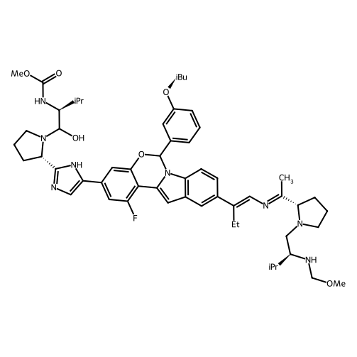 CC/C(=C\N=C(/C)[C@@H]1CCCN1C[C@@H](NCOC)C(C)C)c1ccc2c(c1)cc1n2C(c2cccc(O[C@H](C)CC)c2)Oc2cc(-c3cnc([C@@H]4CCCN4C(O)[C@@H](NC(=O)OC)C(C)C)[nH]3)cc(F)c2-1